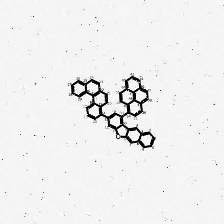 c1ccc2cc3c(cc2c1)oc1cc(-c2cccc4c2ccc2ccc5ccccc5c24)cc(-c2ccc4ccc5cccc6ccc2c4c56)c13